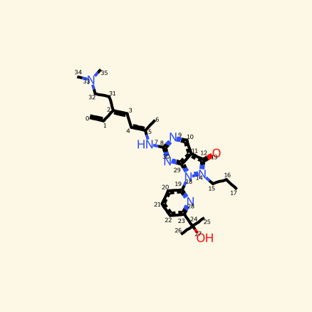 C=C/C(=C\C=C(/C)Nc1ncc2c(=O)n(CCC)n(-c3cccc(C(C)(C)O)n3)c2n1)CCN(C)C